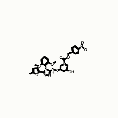 COc1cccc(OC)c1-n1c(NSC2CC(O)CN(C(=O)OCc3ccc([N+](=O)[O-])cc3)C2)nnc1-c1ccc(C)o1